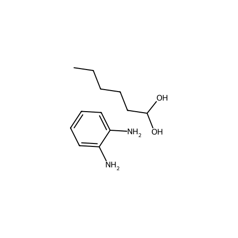 CCCCCC(O)O.Nc1ccccc1N